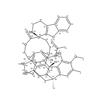 COc1c(C)cc2c(c1O)[C@H]1[C@@H]3[C@@H]4SC[C@]5(NCCc6c5oc5ccccc65)C(=O)OC[C@@H](c5c6c(c(C)c(OC(C)=O)c54)OCO6)N3C3(O)CN1[C@]2(C)C3